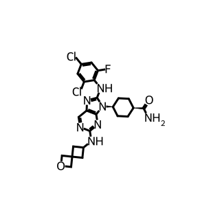 NC(=O)[C@H]1CC[C@@H](n2c(Nc3c(F)cc(Cl)cc3Cl)nc3cnc(NC4CC5(COC5)C4)nc32)CC1